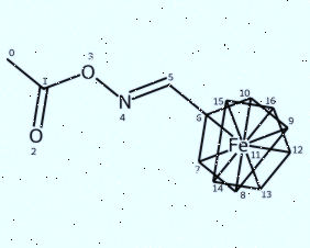 CC(=O)ON=C[C]12[CH]3[CH]4[CH]5[CH]1[Fe]45321678[CH]2[CH]1[CH]6[CH]7[CH]28